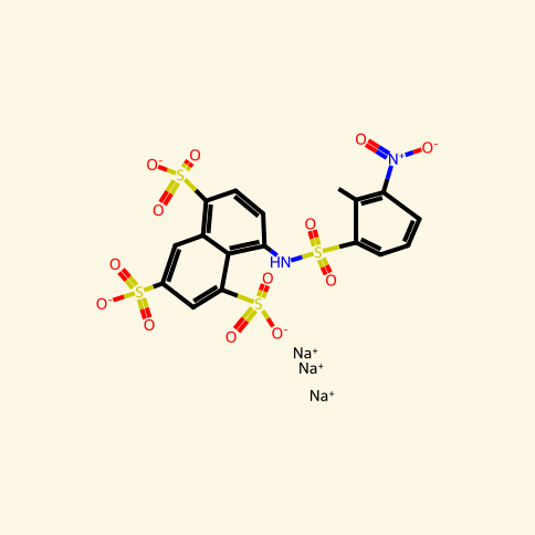 Cc1c([N+](=O)[O-])cccc1S(=O)(=O)Nc1ccc(S(=O)(=O)[O-])c2cc(S(=O)(=O)[O-])cc(S(=O)(=O)[O-])c12.[Na+].[Na+].[Na+]